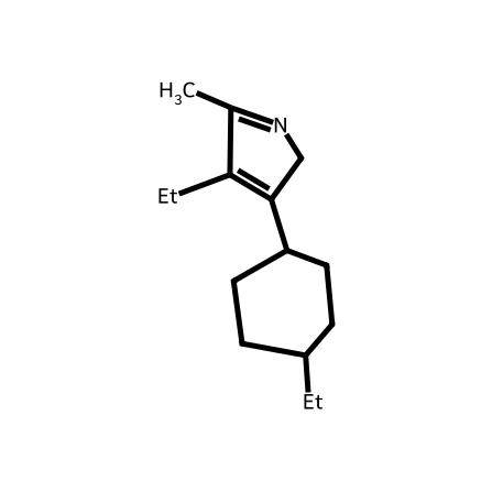 CCC1=C(C2CCC(CC)CC2)CN=C1C